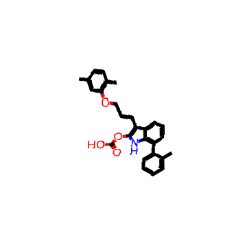 Cc1ccc(C)c(OCCCc2c(OC(=O)O)[nH]c3c(-c4ccccc4C)cccc23)c1